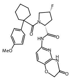 COc1ccc(C2(C(=O)N3C[C@H](F)C[C@@H]3C(=O)Nc3ccc4c(n3)NC(=O)CO4)CCCCC2)cc1